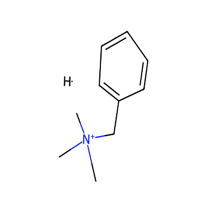 C[N+](C)(C)Cc1ccccc1.[H]